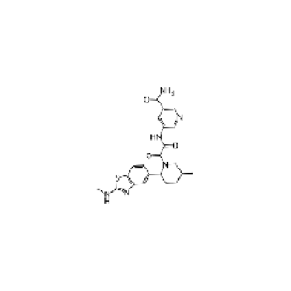 CNc1nc2cc(C3CC[C@H](C)CN3C(=O)C(=O)Nc3cncc(C(N)=O)c3)ccc2s1